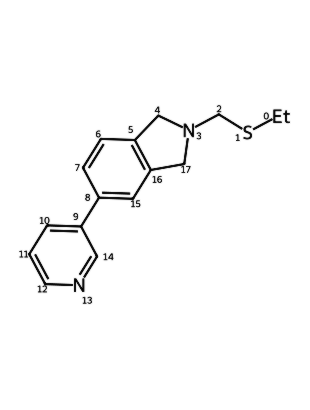 CCSCN1Cc2ccc(-c3cccnc3)cc2C1